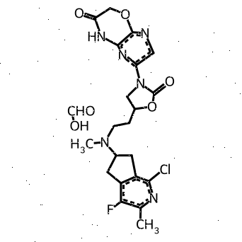 Cc1nc(Cl)c2c(c1F)CC(N(C)CCC1CN(c3cnc4c(n3)NC(=O)CO4)C(=O)O1)C2.O=CO